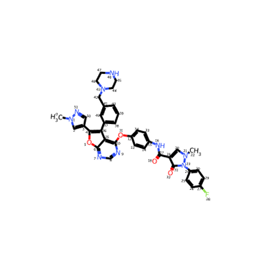 Cn1cc(-c2oc3ncnc(Oc4ccc(NC(=O)c5cn(C)n(-c6ccc(F)cc6)c5=O)cc4)c3c2-c2cccc(CN3CCNCC3)c2)cn1